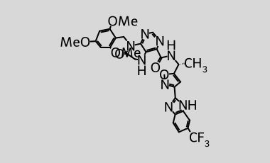 COc1cc(OC)c(CN2C(=O)CNc3c(C(=O)N[C@H](C)c4cc(-c5nc6ccc(C(F)(F)F)cc6[nH]5)no4)ncnc32)c(OC)c1